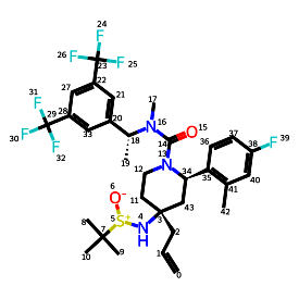 C=CC[C@@]1(N[S+]([O-])C(C)(C)C)CCN(C(=O)N(C)[C@H](C)c2cc(C(F)(F)F)cc(C(F)(F)F)c2)[C@@H](c2ccc(F)cc2C)C1